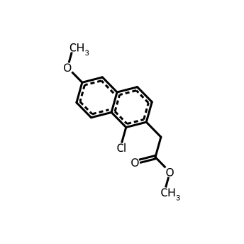 COC(=O)Cc1ccc2cc(OC)ccc2c1Cl